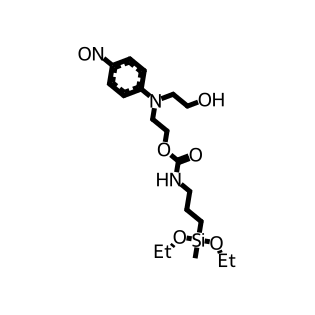 CCO[Si](C)(CCCNC(=O)OCCN(CCO)c1ccc(N=O)cc1)OCC